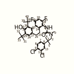 CN(CC(C)(C)c1ccc(Cl)c(Cl)c1)C(=O)Nc1c(F)cc(F)cc1CCc1cc(C(C)(C)C)c(O)c(C(C)(C)C)c1